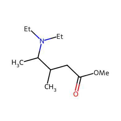 CCN(CC)C(C)C(C)CC(=O)OC